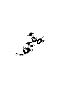 C[C@@H]1CN(c2ncc(OC=O)cc2Cl)CCN1c1cc(-c2ccc(F)c(F)c2)nc(N2CC[C@H]2C)n1